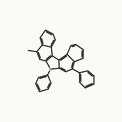 Cc1cc2c(c3ccccc13)c1c3ccccc3c(-c3ccccc3)cc1n2-c1ccccc1